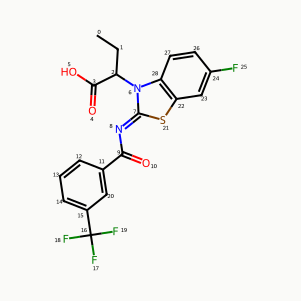 CCC(C(=O)O)n1/c(=N/C(=O)c2cccc(C(F)(F)F)c2)sc2cc(F)ccc21